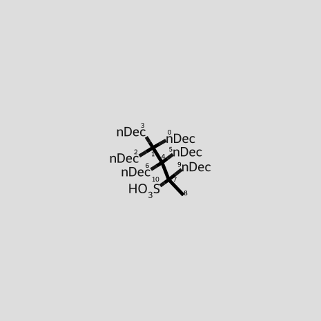 CCCCCCCCCCC(CCCCCCCCCC)(CCCCCCCCCC)C(CCCCCCCCCC)(CCCCCCCCCC)C(C)(CCCCCCCCCC)S(=O)(=O)O